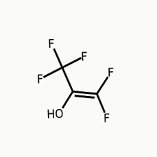 OC(=C(F)F)C(F)(F)F